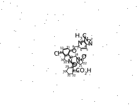 Cn1cnc2ccc(COc3ccc(Cl)c4c3[C@@H](CN3CCCC3=O)N(C(=O)C3CCCC[C@H]3C(=O)O)CC4)nc21